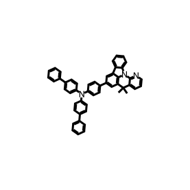 CC1(C)c2cccnc2-n2c3ccccc3c3cc(-c4ccc(N(c5ccc(-c6ccccc6)cc5)c5ccc(-c6ccccc6)cc5)cc4)cc1c32